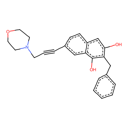 Oc1cc2ccc(C#CCN3CCOCC3)cc2c(O)c1Cc1ccccc1